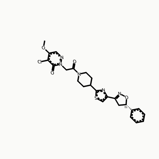 COc1cnn(CC(=O)N2CCC(c3nc(C4=NO[C@H](c5ccccc5)C4)cs3)CC2)c(=O)c1Cl